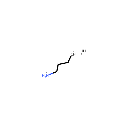 CCCCN.[LiH]